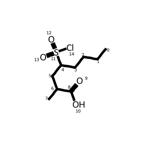 CCCCC(CC(C)C(=O)O)S(=O)(=O)Cl